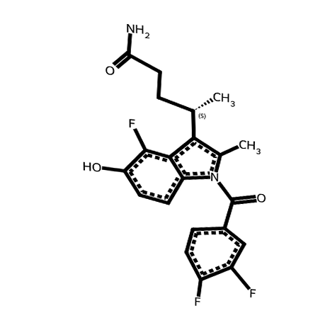 Cc1c([C@@H](C)CCC(N)=O)c2c(F)c(O)ccc2n1C(=O)c1ccc(F)c(F)c1